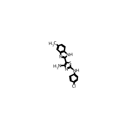 Cc1ccc2[nH]c(-c3sc(Nc4ccc(Cl)cc4)nc3N)nc2c1